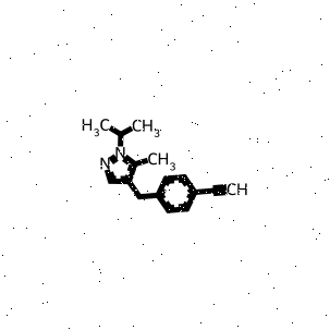 C#Cc1ccc(Cc2cnn(C(C)C)c2C)cc1